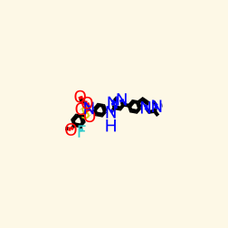 COc1ccc(S(=O)(=O)N(OC=O)c2ccc(Nc3cc(-c4ccc5c(ccn5CC(C)N(C)C)c4)ncn3)cc2)cc1F